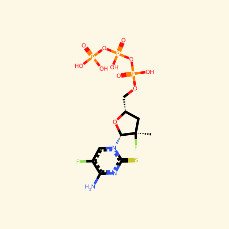 C[C@@]1(F)C[C@@H](COP(=O)(O)OP(=O)(O)OP(=O)(O)O)O[C@H]1n1cc(F)c(N)nc1=S